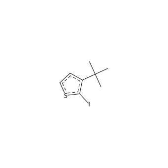 CC(C)(C)c1ccsc1I